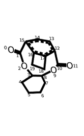 O=C1OC2CCCCC2OC(=O)c2ccc1c1c2CC1